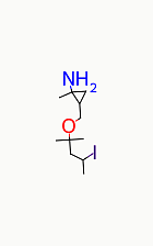 CC(I)CC(C)(C)OCC1CC1(C)N